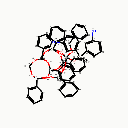 C[Si](O[Si]1(O[SiH2]c2ccccc2)O[Si]2(c3ccccc3)O[Si]3(c4ccccc4)O[SiH2]O[Si]4(c5ccccc5)O[Si](c5ccccc5)(O1)O[Si](c1ccccc1)(O2)O[Si](c1ccccc1)(O3)O4)(c1cccc(N)c1)c1cccc(N)c1